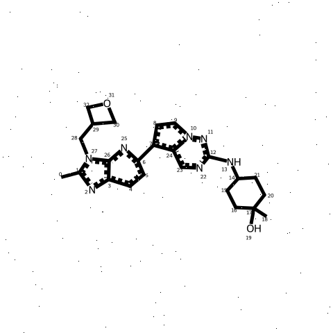 Cc1nc2ccc(-c3ccn4nc(NC5CCC(C)(O)CC5)ncc34)nc2n1CC1COC1